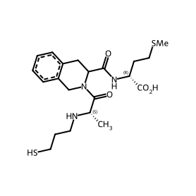 CSCC[C@@H](NC(=O)C1Cc2ccccc2CN1C(=O)[C@H](C)NCCCS)C(=O)O